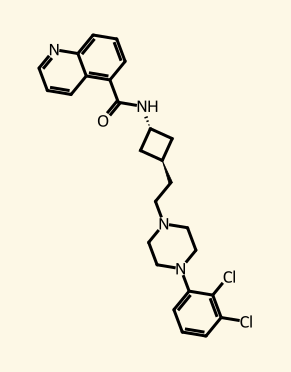 O=C(N[C@H]1C[C@H](CCN2CCN(c3cccc(Cl)c3Cl)CC2)C1)c1cccc2ncccc12